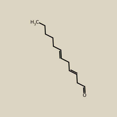 CCCCCC=CCC=CCC=O